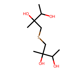 CC(O)C(C)(O)CSCC(C)(O)C(C)O